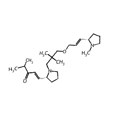 CC(C)C(=O)/C=C/[C@H]1CCCN1CC(C)(C)COC/C=C/[C@@H]1CCCN1C